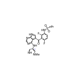 CCCS(=O)(=O)Nc1ccc(F)c(C(=O)c2c[nH]c3ncnc(N/C(C=N)=C/NC)c23)c1F